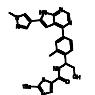 Cc1cc(-c2ncnc3[nH]c(-c4cnn(C)c4)cc23)ccc1C(CO)NC(=O)c1cnc(C(C)(C)C)s1